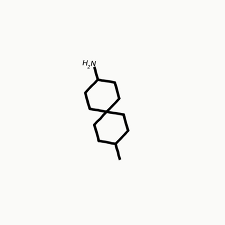 CC1CCC2(CC1)CCC(N)CC2